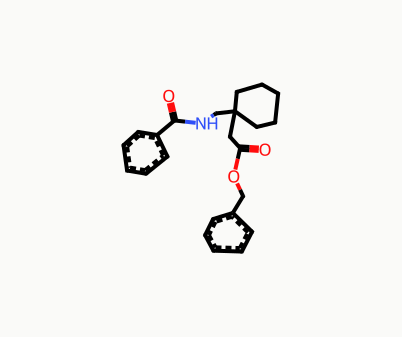 O=C(CC1(CNC(=O)c2ccccc2)CCCCC1)OCc1ccccc1